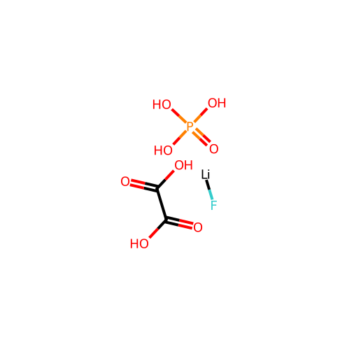 O=C(O)C(=O)O.O=P(O)(O)O.[Li][F]